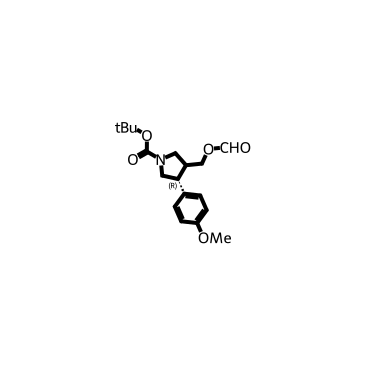 COc1ccc([C@@H]2CN(C(=O)OC(C)(C)C)CC2COC=O)cc1